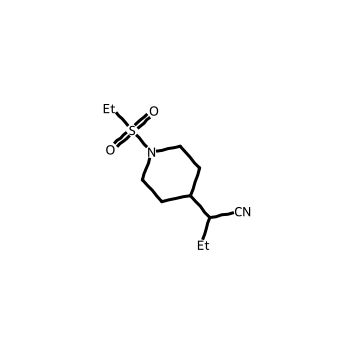 CCC(C#N)C1CCN(S(=O)(=O)CC)CC1